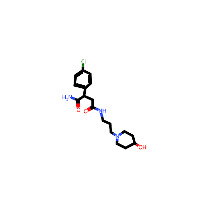 NC(=O)C(CC(=O)NCCCN1CCC(O)CC1)c1ccc(Cl)cc1